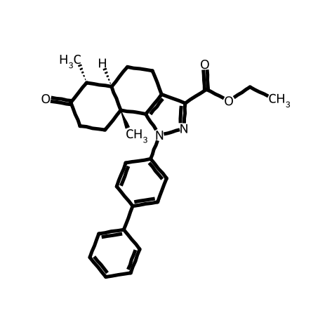 CCOC(=O)c1nn(-c2ccc(-c3ccccc3)cc2)c2c1CC[C@@H]1[C@@H](C)C(=O)CC[C@@]21C